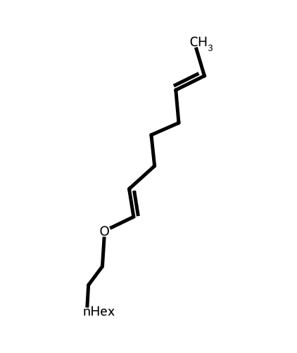 CC=CCCCC=COCCCCCCCC